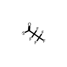 O=C([S])C(F)(F)C(F)(F)F